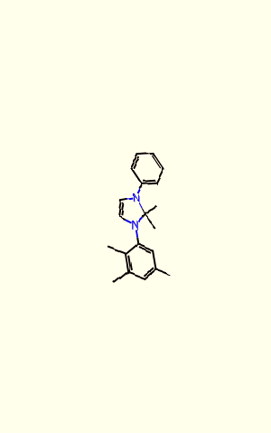 Cc1cc(C)c(C)c(N2C=CN(c3ccccc3)C2(C)C)c1